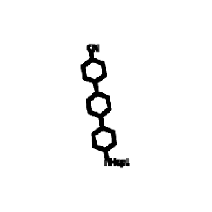 CCCCCCCC1CCC(C2CCC(C3CCC(C#N)CC3)CC2)CC1